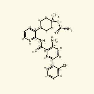 CC1(OC(N)=O)CCN(c2cccnc2NC(=O)c2nc(-c3ncccc3Cl)cnc2N)CC1